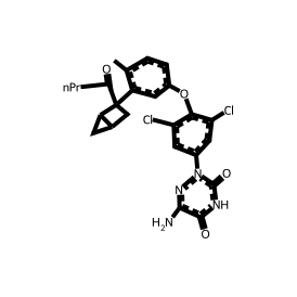 CCCC(=O)C1(c2cc(Oc3c(Cl)cc(-n4nc(N)c(=O)[nH]c4=O)cc3Cl)ccc2C)CC2CC21